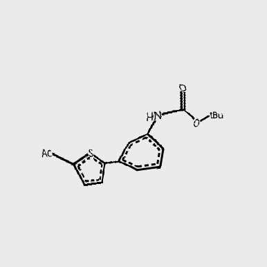 CC(=O)c1ccc(-c2cccc(NC(=O)OC(C)(C)C)c2)s1